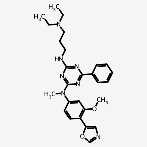 CCN(CC)CCCNc1nc(-c2ccccc2)nc(N(C)c2ccc(-c3cnco3)c(OC)c2)n1